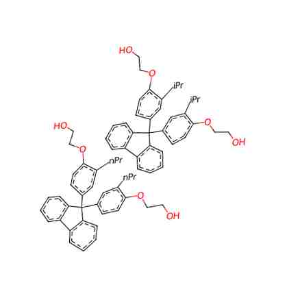 CC(C)c1cc(C2(c3ccc(OCCO)c(C(C)C)c3)c3ccccc3-c3ccccc32)ccc1OCCO.CCCc1cc(C2(c3ccc(OCCO)c(CCC)c3)c3ccccc3-c3ccccc32)ccc1OCCO